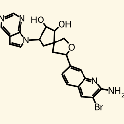 Nc1nc2cc(C3CC4(CO3)CC(n3ccc5cncnc53)C(O)C4O)ccc2cc1Br